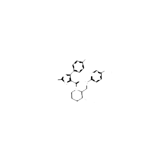 Cc1nc(C(=O)N2CCC[C@H](C)C2CNc2ccc(C(F)(F)F)cn2)c(-c2ccc(F)cc2)s1